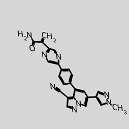 C=C(C(N)=O)c1cnc(-c2ccc(-c3cc(-c4cnn(C)c4)cn4ncc(C#N)c34)cc2)cn1